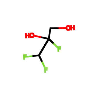 OCC(O)(F)C(F)F